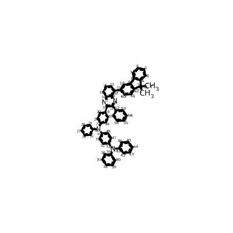 CC1(C)c2ccccc2-c2cc(-c3cccc4nc(-c5ccc(N(c6ccccc6)c6ccc(N(c7ccccc7)c7ccccc7)cc6)cc5)c(-c5ccccc5)nc34)ccc21